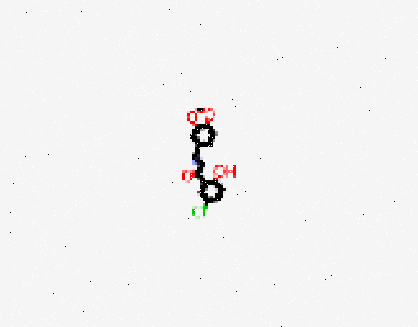 O=C(/C=C/c1ccc2c(c1)OCO2)c1cc(Cl)ccc1O